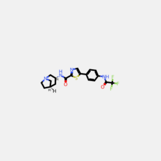 O=C(N[C@@H]1C[C@H]2CCN(C2)C1)c1ncc(-c2ccc(NC(=O)C(F)(F)F)cc2)s1